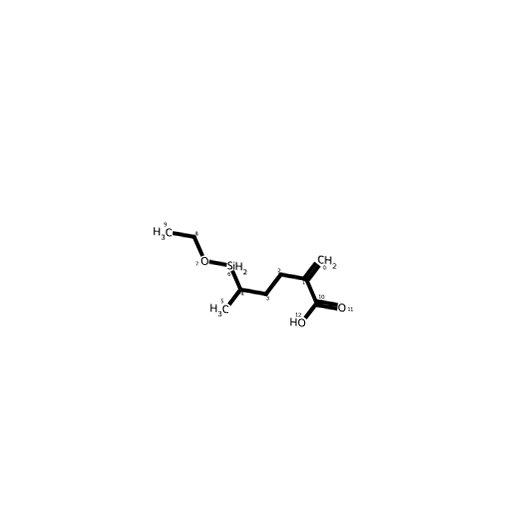 C=C(CCC(C)[SiH2]OCC)C(=O)O